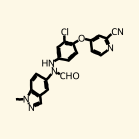 Cn1ncc2cc(N(C=O)Nc3ccc(Oc4ccnc(C#N)c4)c(Cl)c3)ccc21